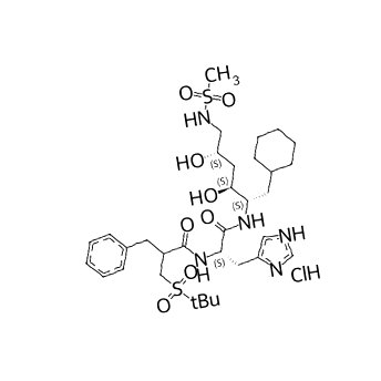 CC(C)(C)S(=O)(=O)CC(Cc1ccccc1)C(=O)N[C@@H](Cc1c[nH]cn1)C(=O)N[C@@H](CC1CCCCC1)[C@@H](O)C[C@H](O)CNS(C)(=O)=O.Cl